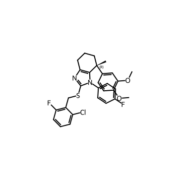 COc1ccc([C@@]2(C)CCCc3nc(SCc4c(F)cccc4Cl)n(-c4ccc(F)cc4)c32)cc1OC